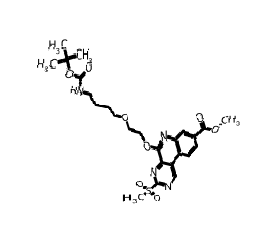 COC(=O)c1ccc2c(c1)nc(OCCOCCCCNC(=O)OC(C)(C)C)c1nc(S(C)(=O)=O)ncc12